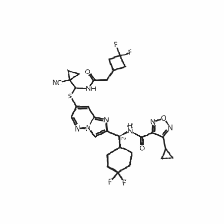 N#CC1(C(NC(=O)CC2CC(F)(F)C2)Sc2cnn3cc([C@@H](NC(=O)c4nonc4C4CC4)C4CCC(F)(F)CC4)nc3c2)CC1